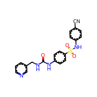 N#Cc1ccc(NS(=O)(=O)c2ccc(NC(=O)NCc3cccnc3)cc2)cc1